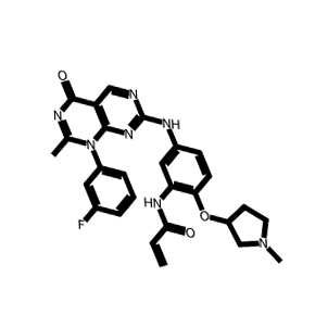 C=CC(=O)Nc1cc(Nc2ncc3c(=O)nc(C)n(-c4cccc(F)c4)c3n2)ccc1OC1CCN(C)C1